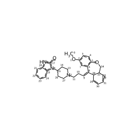 COc1ccc2c(c1)C(=CCCN1CCC(n3c(=O)[nH]c4ccccc43)CC1)C1C=CC=NC1CO2